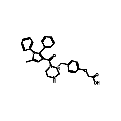 Cc1cc(C(=O)N2CCNC[C@H]2Cc2ccc(OCC(=O)O)cc2)c(-c2ccccc2)n1-c1ccccc1